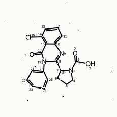 O=C(O)N1CCC[C@H]1c1nc2cccc(Cl)c2c(=O)n1-c1ccccc1